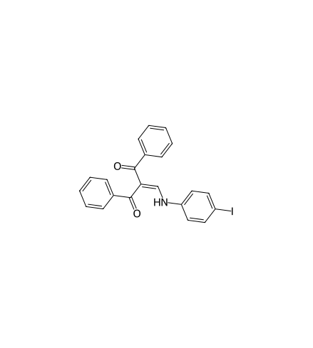 O=C(C(=CNc1ccc(I)cc1)C(=O)c1ccccc1)c1ccccc1